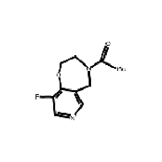 CC(C)(C)C(=O)N1CCOc2c(F)cncc2C1